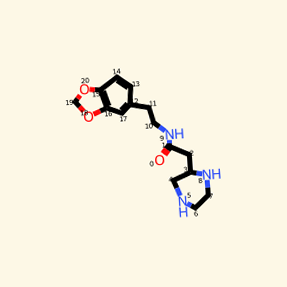 O=C(CC1CNCCN1)NCCc1ccc2c(c1)OCO2